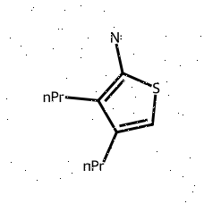 CCCc1csc([N])c1CCC